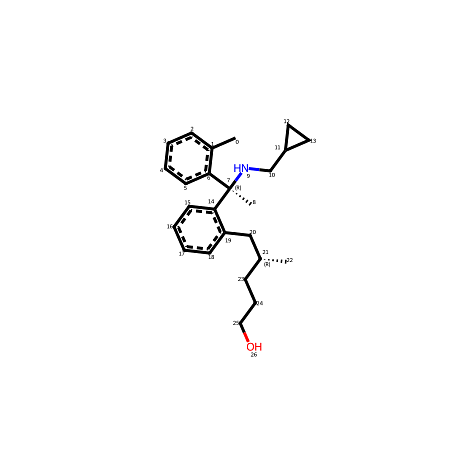 Cc1ccccc1[C@@](C)(NCC1CC1)c1ccccc1C[C@H](C)CCCO